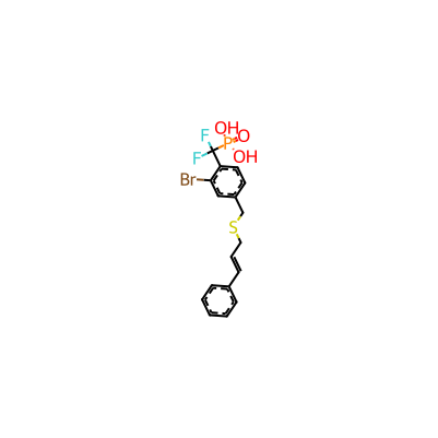 O=P(O)(O)C(F)(F)c1ccc(CSCC=Cc2ccccc2)cc1Br